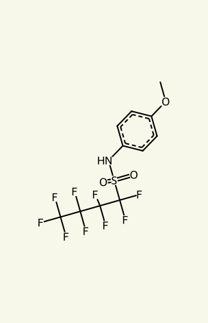 COc1ccc(NS(=O)(=O)C(F)(F)C(F)(F)C(F)(F)C(F)(F)F)cc1